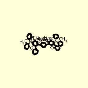 Cc1ccccc1N(c1ccccc1C)c1cc2c(c3c1oc1ccccc13)-c1ccc3c(c1[Si]2(C)C)[Si](C)(C)c1cc(N(c2ccccc2C)c2ccccc2C)c2c(oc4ccccc42)c1-3